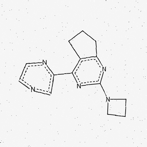 c1cnc(-c2nc(N3CCC3)nc3c2CCC3)cn1